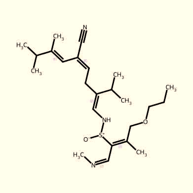 CCCOC/C(C)=C(/C=N\C)[S+]([O-])N/C=C(/C/C=C(C#N)\C=C(/C)C(C)C)C(C)C